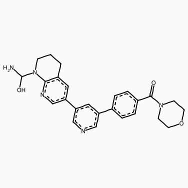 NC(O)N1CCCc2cc(-c3cncc(-c4ccc(C(=O)N5CCOCC5)cc4)c3)cnc21